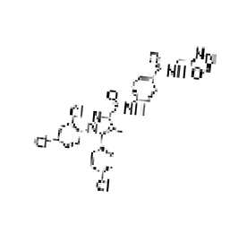 Cc1c(C(=O)Nc2ccc(C(=O)NCc3nnco3)cc2)nn(-c2ccc(Cl)cc2Cl)c1-c1ccc(Cl)cc1